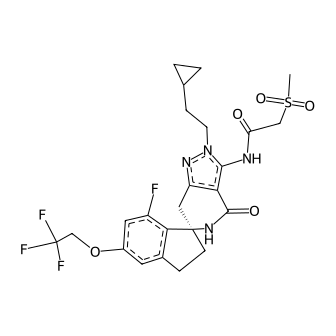 CS(=O)(=O)CC(=O)Nc1c2c(nn1CCC1CC1)C[C@@]1(CCc3cc(OCC(F)(F)F)cc(F)c31)NC2=O